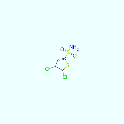 NS(=O)(=O)C1=CC(Cl)C(Cl)S1